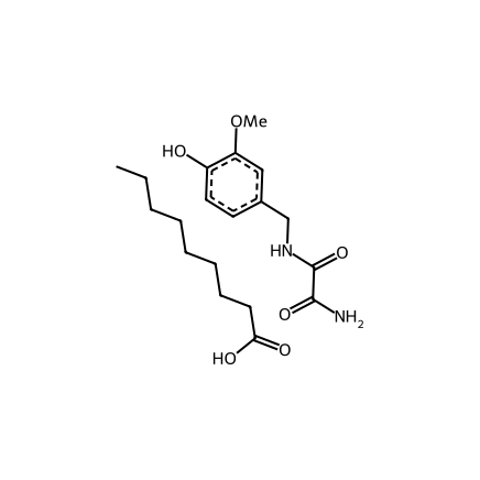 CCCCCCCCC(=O)O.COc1cc(CNC(=O)C(N)=O)ccc1O